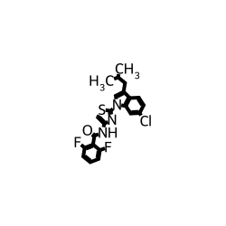 CC(C)Cc1cn(-c2nc(NC(=O)c3c(F)cccc3F)cs2)c2cc(Cl)ccc12